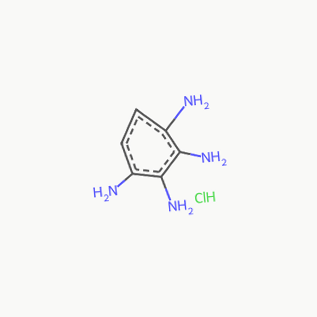 Cl.Nc1ccc(N)c(N)c1N